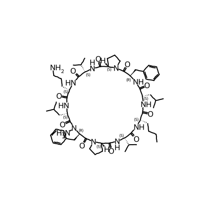 CCCC[C@@H]1NC(=O)[C@H](C(C)C)NC(=O)[C@@H]2CCCN2C(=O)[C@@H](Cc2ccccc2)N(N)C(=O)[C@H](CC(C)C)NC(=O)[C@H](CCCN)NC(=O)[C@H](C(C)C)NC(=O)[C@@H]2CCCN2C(=O)[C@@H](Cc2ccccc2)NC(=O)[C@H](CC(C)C)NC1=O